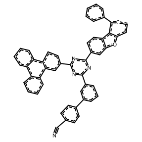 N#Cc1ccc(-c2cccc(-c3nc(-c4ccc5c(c4)oc4cccc(-c6ccccc6)c45)nc(-c4ccc5c6ccccc6c6ccccc6c5c4)n3)c2)cc1